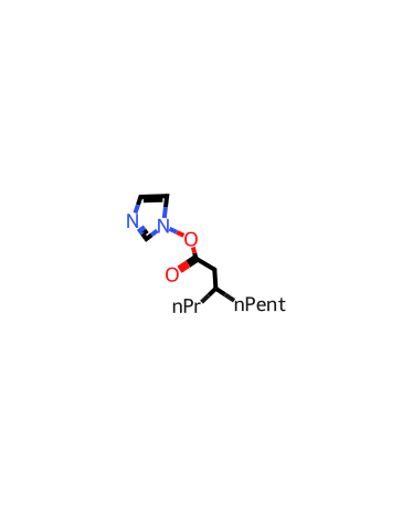 CCCCCC(CCC)CC(=O)On1ccnc1